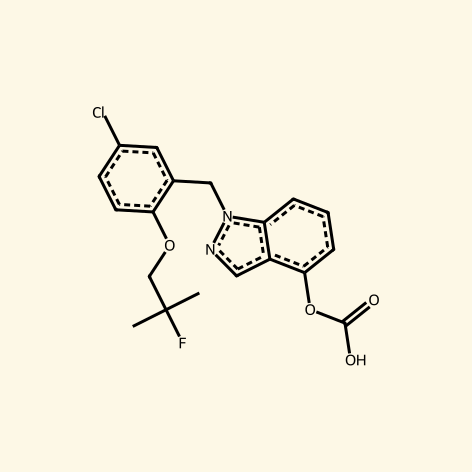 CC(C)(F)COc1ccc(Cl)cc1Cn1ncc2c(OC(=O)O)cccc21